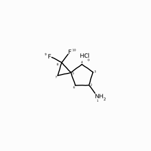 Cl.NC1CCC2(C1)CC2(F)F